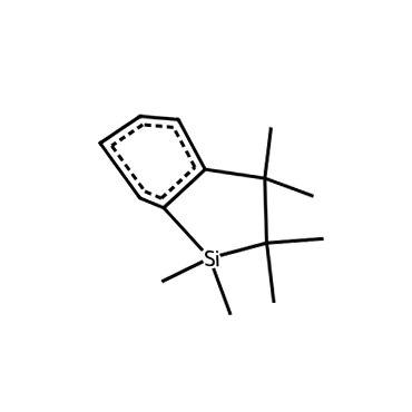 CC1(C)c2ccccc2[Si](C)(C)C1(C)C